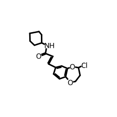 O=C(C=Cc1ccc2c(c1)OC(Cl)CCO2)NC1CCCCC1